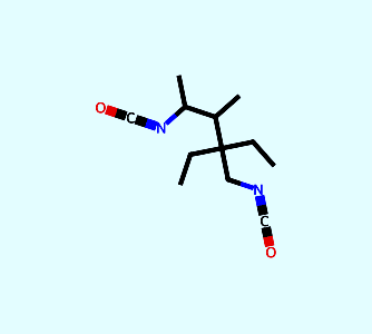 CCC(CC)(CN=C=O)C(C)C(C)N=C=O